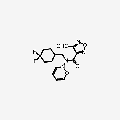 O=Cc1nonc1C(=O)N(CC1CCC(F)(F)CC1)N1C=CC=CO1